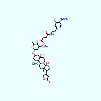 COC1CC(OC2CCC3(C=O)C4CCC5(C)C(C6=CC(=O)OC6)CCC5(O)C4CCC3(O)C2)OC(C)C1OC(=O)CCC(=O)NCCc1ccc(N=[N+]=[N-])c(I)c1